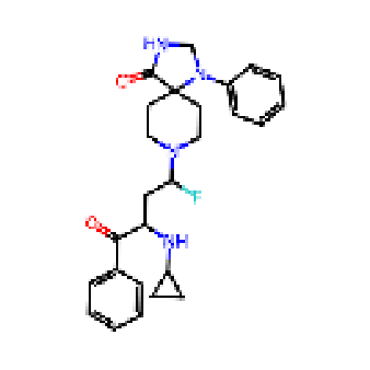 O=C(c1ccccc1)C(CC(F)N1CCC2(CC1)C(=O)NCN2c1ccccc1)NC1CC1